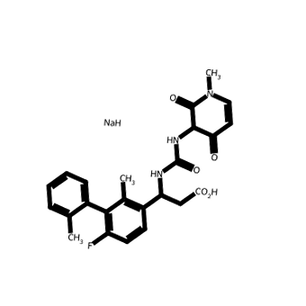 Cc1ccccc1-c1c(F)ccc(C(CC(=O)O)NC(=O)NC2C(=O)C=CN(C)C2=O)c1C.[NaH]